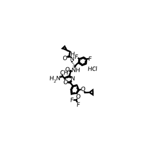 C[C@H](N)c1oc(-c2ccc(OC(F)F)c(OCC3CC3)c2)nc1C(=O)N[C@H](CNC(=O)CC1CC1)c1ccc(F)cc1F.Cl